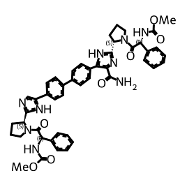 COC(=O)N[C@@H](C(=O)N1CCC[C@H]1c1ncc(-c2ccc(-c3ccc(-c4[nH]c([C@@H]5CCCN5C(=O)[C@H](NC(=O)OC)c5ccccc5)nc4C(N)=O)cc3)cc2)[nH]1)c1ccccc1